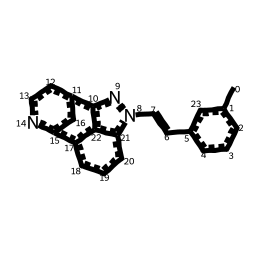 Cc1cccc(C=Cn2nc3c4ccnc(c4)c4cccc2c43)c1